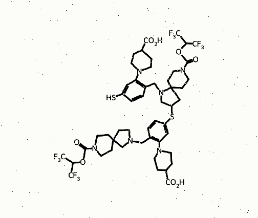 O=C(O)C1CCN(c2cc(SC3CN(Cc4ccc(S)cc4N4CCC(C(=O)O)CC4)C4(CCN(C(=O)OC(C(F)(F)F)C(F)(F)F)CC4)C3)ccc2CN2CCC3(CCN(C(=O)OC(C(F)(F)F)C(F)(F)F)CC3)C2)CC1